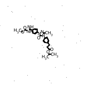 COC(=O)NC(=N)c1ccc(-n2nc(C)n(-c3ccc(CCC(=O)OC(C)C)cc3)c2=O)cc1